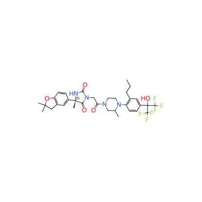 CCCc1cc(C(O)(C(F)(F)F)C(F)(F)F)ccc1N1CCN(C(=O)CN2C(=O)N[C@@](C)(c3ccc4c(c3)CC(C)(C)O4)C2=O)CC1C